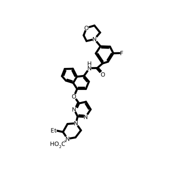 CCC1CN(c2nccc(Oc3ccc(NC(=O)c4cc(F)cc(N5CCOCC5)c4)c4ccccc34)n2)CCN1C(=O)O